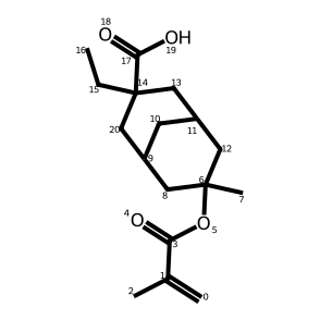 C=C(C)C(=O)OC1(C)CC2CC(C1)CC(CC)(C(=O)O)C2